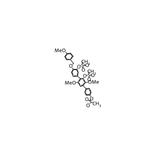 COc1ccc(COc2ccc(-c3c(OC)cc(-c4ccc(OS(C)(=O)=O)cc4)c(OC)c3OS(C)(=O)=O)cc2OS(C)(=O)=O)cc1